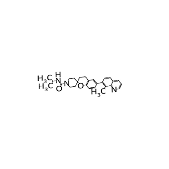 Cc1c(-c2ccc3c(c2)CCC2(CCN(C(=O)NC(C)C)CC2)O3)ccc2cccnc12